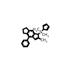 CC1=Cc2c(cc3c(c2-c2ccccc2)CCC3)C1[Si](C)(C)C1C=CC=C1